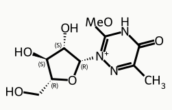 COc1[nH]c(=O)c(C)n[n+]1[C@@H]1O[C@H](CO)[C@@H](O)[C@@H]1O